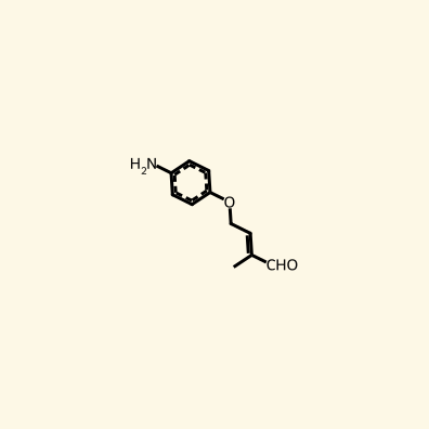 C/C(C=O)=C\COc1ccc(N)cc1